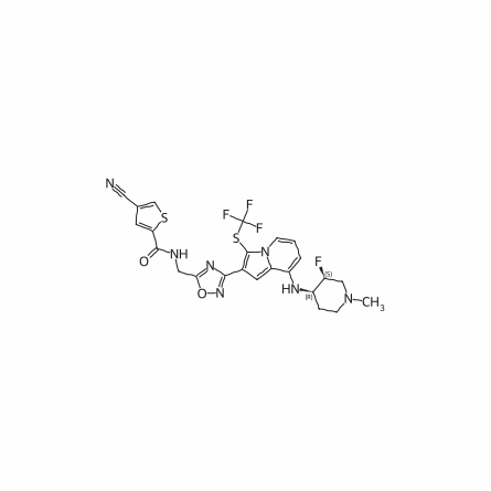 CN1CC[C@@H](Nc2cccn3c(SC(F)(F)F)c(-c4noc(CNC(=O)c5cc(C#N)cs5)n4)cc23)[C@@H](F)C1